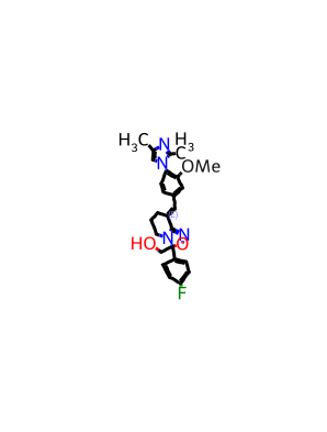 COc1cc(/C=C2\CCCN3C2=NOC3(CO)c2ccc(F)cc2)ccc1-n1cc(C)nc1C